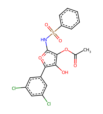 CC(=O)Oc1c(NS(=O)(=O)c2ccccc2)oc(-c2cc(Cl)cc(Cl)c2)c1O